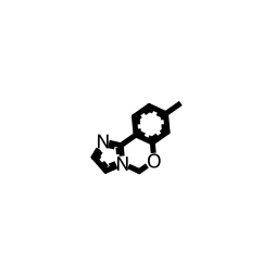 Cc1ccc2c(c1)OCn1ccnc1-2